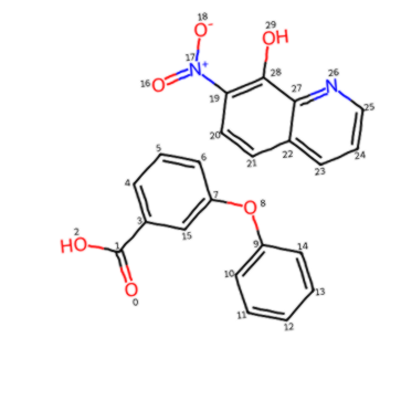 O=C(O)c1cccc(Oc2ccccc2)c1.O=[N+]([O-])c1ccc2cccnc2c1O